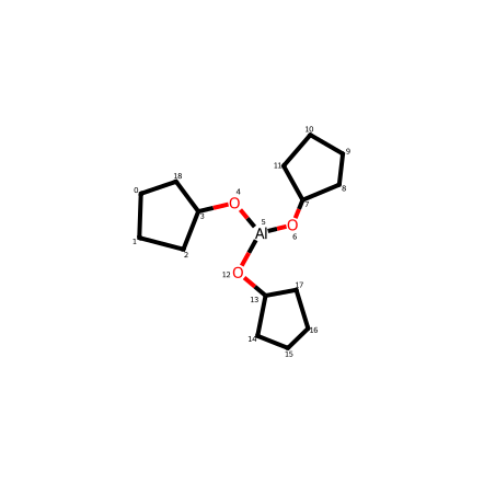 C1CCC([O][Al]([O]C2CCCC2)[O]C2CCCC2)C1